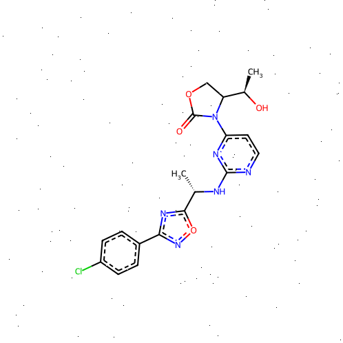 C[C@H](Nc1nccc(N2C(=O)OCC2[C@@H](C)O)n1)c1nc(-c2ccc(Cl)cc2)no1